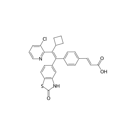 O=C(O)C=Cc1ccc(C(=C(c2ncccc2Cl)C2CCC2)c2ccc3sc(=O)[nH]c3c2)cc1